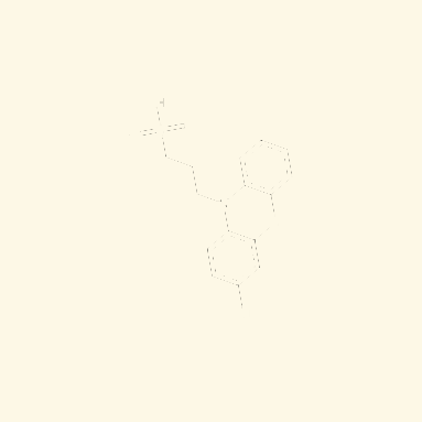 Cc1ccc2c(c1)Sc1ccccc1N2CCCS(=O)(=O)O